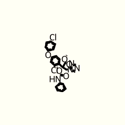 COC(=O)C(Cn1cncn1)(OC(=O)Nc1ccccc1)c1ccc(Oc2ccc(Cl)cc2)cc1Cl